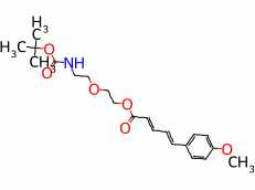 COc1ccc(/C=C/C=C/C(=O)OCCOCCNC(=O)OC(C)(C)C)cc1